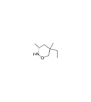 CCC1(C)CONC(C)C1